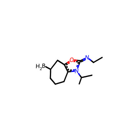 BC1CCCc2c(o/c(=N/CC)n2C(C)C)C1